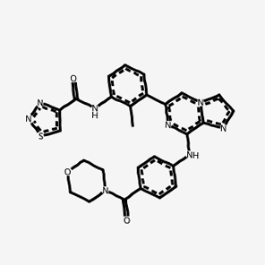 Cc1c(NC(=O)c2csnn2)cccc1-c1cn2ccnc2c(Nc2ccc(C(=O)N3CCOCC3)cc2)n1